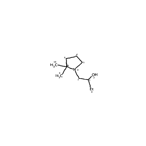 CCC(O)CN1CCCC1(C)C